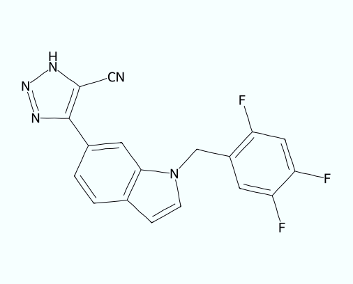 N#Cc1[nH]nnc1-c1ccc2ccn(Cc3cc(F)c(F)cc3F)c2c1